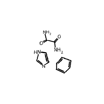 NC(=O)C(N)=O.c1c[nH]cn1.c1ccccc1